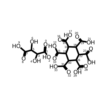 O=C(O)C(O)C(O)C(=O)O.O=C(O)C1C(C(=O)O)C(C(=O)O)C(C(=O)O)C(C(=O)O)C1C(=O)O